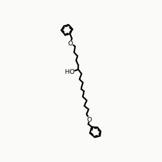 OC(CCCCCCCCCCOCc1ccccc1)CCCCCOCc1ccccc1